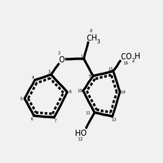 CC(Oc1ccccc1)c1cc(O)ccc1C(=O)O